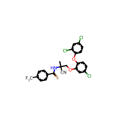 CC(C#N)(COc1cc(Cl)ccc1Oc1ccc(Cl)cc1Cl)NC(=S)c1ccc(C(F)(F)F)cc1